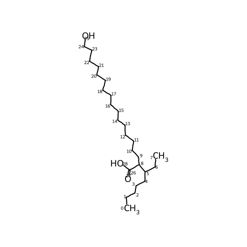 CCCCCC(CC)C(CCCCCCCCCCCCCCCCO)C(=O)O